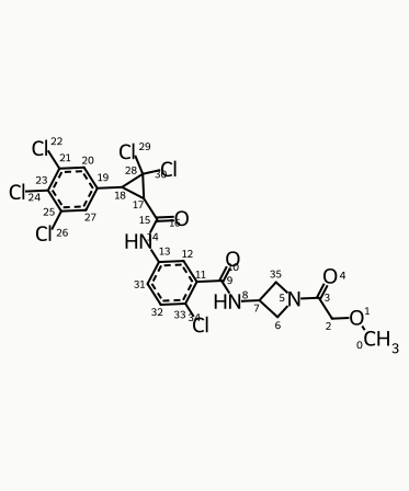 COCC(=O)N1CC(NC(=O)c2cc(NC(=O)C3C(c4cc(Cl)c(Cl)c(Cl)c4)C3(Cl)Cl)ccc2Cl)C1